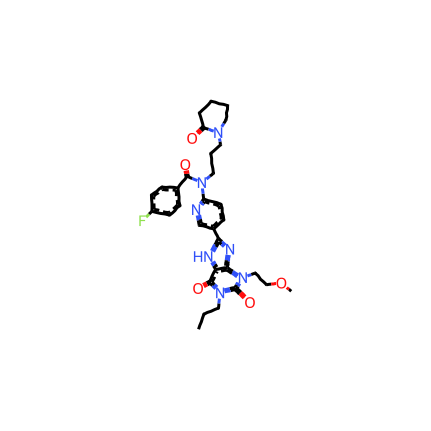 CCCn1c(=O)c2[nH]c(-c3ccc(N(CCCN4CCCCC4=O)C(=O)c4ccc(F)cc4)nc3)nc2n(CCOC)c1=O